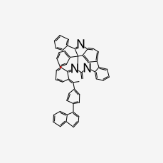 C=C(/N=C1/C=CC=C/C1=C(/C)c1ccc(-c2cccc3ccccc23)cc1)n1c2ccccc2c2ccc3c(c21)C(C)(c1ccccc1)C(c1ccccc1)=N3